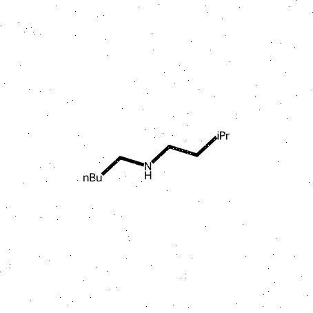 CCCCCNCCC(C)C